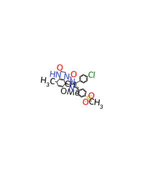 COC1=CC(C)C2=C3N(CC(=O)N2)C(=O)N2C(=NC(c4ccc(S(C)(=O)=O)cc4)C2c2ccc(Cl)cc2)C13C